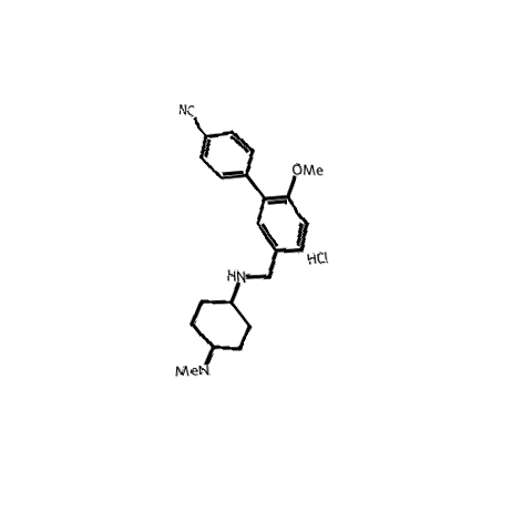 CNC1CCC(NCc2ccc(OC)c(-c3ccc(C#N)cc3)c2)CC1.Cl